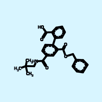 CC(C)(C)CNC(=O)c1ccc(-c2ccccc2C(=O)O)c(C(=O)OCc2ccccc2)c1